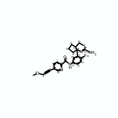 COCC#Cc1ccc(C(=O)Nc2ccc(F)c(C34CCCC3CSC(N)=N4)c2)nc1